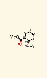 COC(=O)C1CC=CC[C@H]1C(=O)O